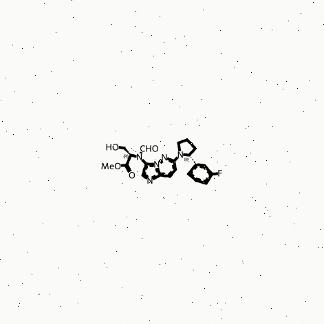 COC(=O)[C@@H](CO)N(C=O)c1cnc2ccc(N3CCC[C@@H]3c3cccc(F)c3)nn12